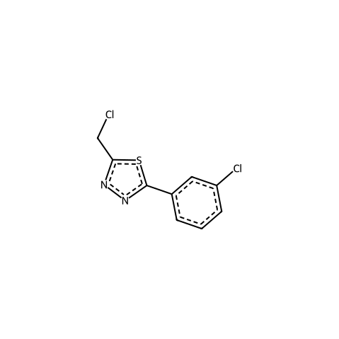 ClCc1nnc(-c2cccc(Cl)c2)s1